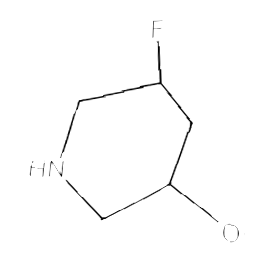 [O]C1CNCC(F)C1